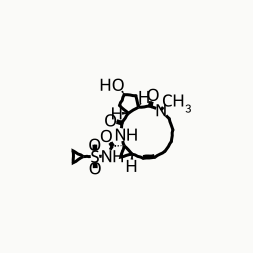 CN1CCCC/C=C\[C@@H]2C[C@@]2(C(=O)NS(=O)(=O)C2CC2)NC(=O)[C@@H]2C[C@H](O)C[C@H]2C1=O